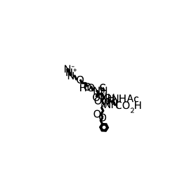 CC(=O)N[C@@H](CC(=O)O)C(=O)N[C@@H](CCC(=O)OCc1ccccc1)C(=O)N[C@@H](CC(=O)O)C(=O)NCCOCCOCCN=[N+]=[N-]